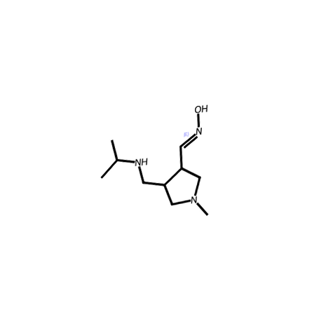 CC(C)NCC1CN(C)CC1/C=N/O